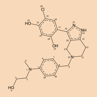 CN(CCO)c1ccc(CN2CCc3[nH]nc(-c4cc(Cl)c(O)cc4O)c3C2)cc1